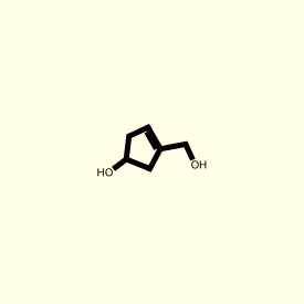 OCC1=CCC(O)C1